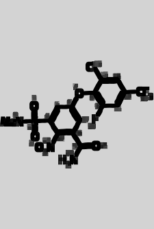 CNS(=O)(=O)c1cc(Oc2c(F)cc(C(F)(F)F)cc2Cl)cc(C(N)=O)c1[N+](=O)[O-]